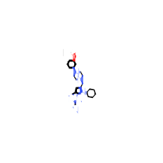 COc1cccc(N2CCN(Cc3cc4cnc(C#N)nc4n3C3CCCCC3)CC2)c1